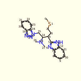 CSCCC(c1nc2ccccc2[nH]1)C(Cn1nnc2ccccc21)N(C)C